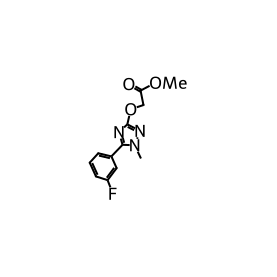 COC(=O)COc1nc(-c2cccc(F)c2)n(C)n1